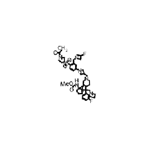 C=CC(=O)N1CC[C@@H](S(=O)(=O)c2ccc(N3CC(CN4CCC(C(CN5CCC5)(c5cccc(F)c5)[C@@]56CCC[C@]5(NC(=O)OC)C6)CC4)C3)cc2CN2CC(F)C2)C1